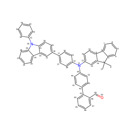 CC1(C)c2ccccc2-c2ccc(N(c3ccc(-c4ccc5c(c4)c4ccccc4n5-c4ccccc4)cc3)c3ccc(-c4ccccc4C=O)cc3)cc21